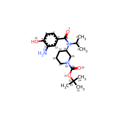 CC(C)N(C(=O)c1ccc(O)c(N)c1)[C@@H]1CCCN(C(=O)OC(C)(C)C)C1